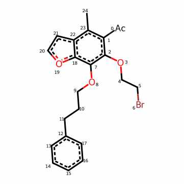 CC(=O)c1c(OCCBr)c(OCCCc2ccccc2)c2occc2c1C